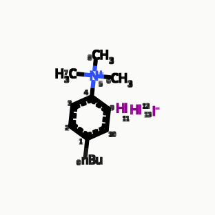 CCCCc1ccc([N+](C)(C)C)cc1.I.I.[I-]